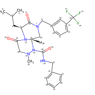 CC(C)C[C@H]1C(=O)N(Cc2cccc(C(F)(F)F)c2)C[C@H]2N1C(=O)CN(C)N2C(=O)NCc1ccccc1